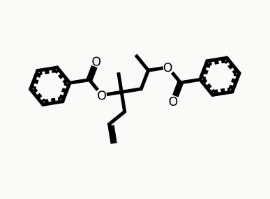 C=CCC(C)(CC(C)OC(=O)c1ccccc1)OC(=O)c1ccccc1